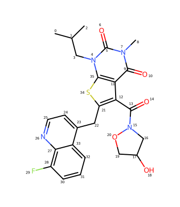 CC(C)Cn1c(=O)n(C)c(=O)c2c(C(=O)N3CC(O)CO3)c(Cc3ccnc4c(F)cccc34)sc21